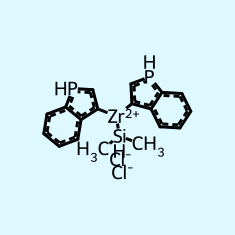 C[SiH](C)[Zr+2]([c]1c[pH]c2ccccc12)[c]1c[pH]c2ccccc12.[Cl-].[Cl-]